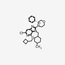 CC1CCC(Cn2c(N3CCOC[C@H]3c3ccccc3)nc3cc(Cl)nc(OCC4CCC4)c32)CC1